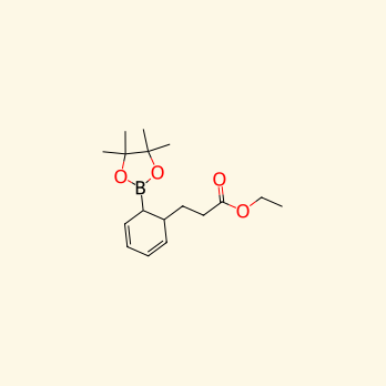 CCOC(=O)CCC1C=CC=CC1B1OC(C)(C)C(C)(C)O1